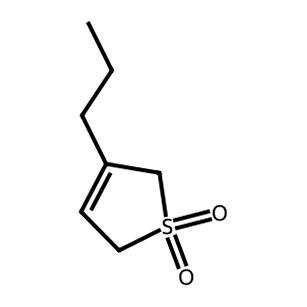 CCCC1=CCS(=O)(=O)C1